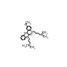 COc1ccc(OCCCCN(C)C)c(C2Sc3ccccc3N(CCCN(C)C)C2=O)c1